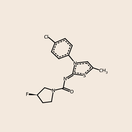 Cc1cn(-c2ccc(Cl)cc2)c(=NC(=O)N2CC[C@@H](F)C2)s1